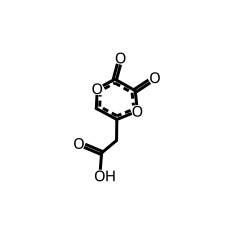 O=C(O)Cc1coc(=O)c(=O)o1